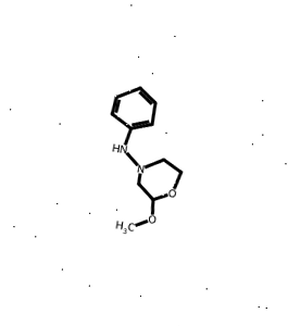 COC1CN(Nc2ccccc2)CCO1